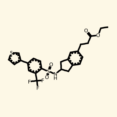 CCOC(=O)CCc1ccc2c(c1)CC(NS(=O)(=O)c1ccc(-c3ccsc3)cc1C(F)(F)F)C2